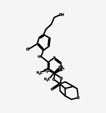 Cc1c(Nc2ccc(CCCO)cc2Cl)ncnc1OC1CC2COCC(C1)N2C(=O)OC(C)(C)C